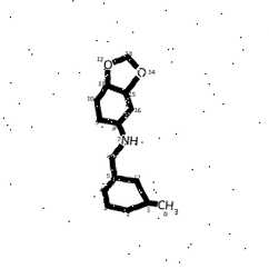 CC1CCCC(CNC2CCC3OCOC3C2)C1